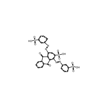 O=C1c2ccccc2C(=O)c2c(N=Nc3cccc(S(=O)(=O)O)c3)c(S(=O)(=O)O)cc(N=Nc3cccc(S(=O)(=O)O)c3)c21